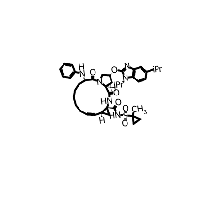 CC(C)c1ccc2c(c1)nc(O[C@@H]1C[C@H]3C(=O)N[C@]4(C(=O)NS(=O)(=O)C5(C)CC5)C[C@H]4/C=C\CCCCC[C@H](Nc4ccccc4)C(=O)N3C1)n2C(C)C